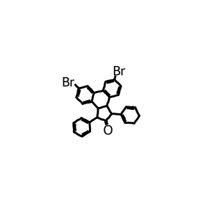 O=C1C(C2=CCCC=C2)C2c3ccc(Br)cc3-c3cc(Br)ccc3C2C1c1ccccc1